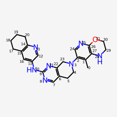 Cc1c(N2CCc3cnc(Nc4cnc5c(c4)CCCC5)nc3C2)cnc2c1NCCO2